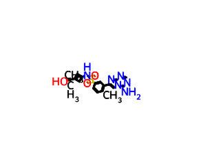 Cc1ccc(S(=O)(=O)NC23CC(C(C)(C)O)(C2)C3)cc1-c1cn2c(N)ncnc2n1